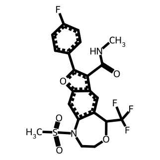 CNC(=O)c1c(-c2ccc(F)cc2)oc2cc3c(cc12)C(C(F)(F)F)OCCN3S(C)(=O)=O